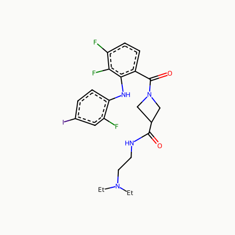 CCN(CC)CCNC(=O)C1CN(C(=O)c2ccc(F)c(F)c2Nc2ccc(I)cc2F)C1